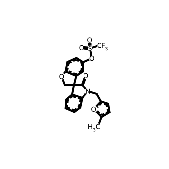 Cc1ccc(CN2C(=O)C3(COc4ccc(OS(=O)(=O)C(F)(F)F)cc43)c3ccccc32)o1